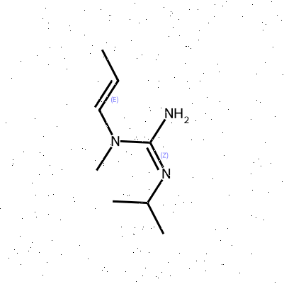 C/C=C/N(C)/C(N)=N\C(C)C